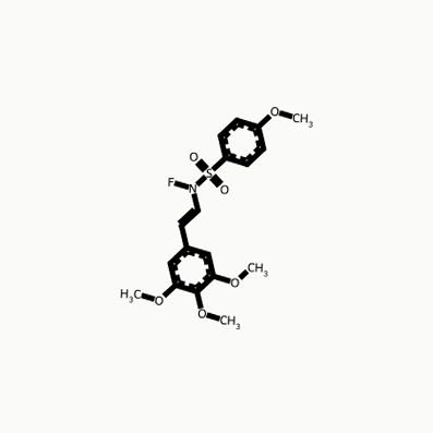 COc1ccc(S(=O)(=O)N(F)C=Cc2cc(OC)c(OC)c(OC)c2)cc1